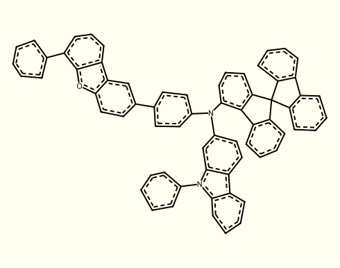 c1ccc(-c2cccc3c2oc2ccc(-c4ccc(N(c5ccc6c7ccccc7n(-c7ccccc7)c6c5)c5cccc6c5-c5ccccc5C65c6ccccc6-c6ccccc65)cc4)cc23)cc1